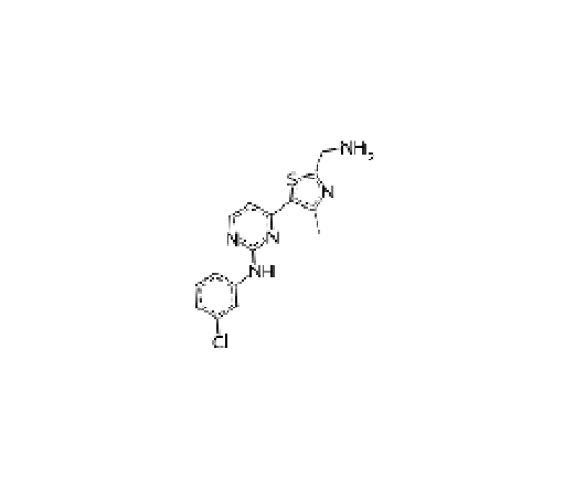 Cc1nc(CN)sc1-c1ccnc(Nc2cccc(Cl)c2)n1